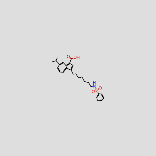 CC(C)c1cccc2c(CCCCCCCNS(=O)(=O)c3ccccc3)cc(C(=O)O)c-2c1